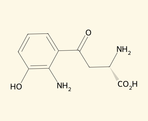 Nc1c(O)cccc1C(=O)C[C@H](N)C(=O)O